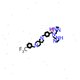 O=C(c1ccc(CN2CCC3(CCN(Cc4cccc(C(F)(F)F)c4)CC3)C2)cc1)N(Cc1ncc[nH]1)Cc1ncc[nH]1